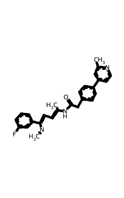 C=N/C(=C\C=C(/C)NC(=O)Cc1ccc(-c2ccnc(C)c2)cc1)c1cccc(F)c1